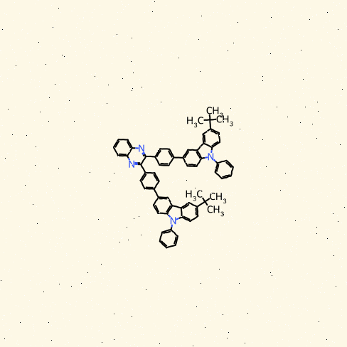 CC(C)(C)c1ccc2c(c1)c1cc(-c3ccc(-c4nc5ccccc5nc4-c4ccc(-c5ccc6c(c5)c5cc(C(C)(C)C)ccc5n6-c5ccccc5)cc4)cc3)ccc1n2-c1ccccc1